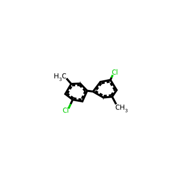 Cc1[c]c(-c2[c]c(C)cc(Cl)c2)cc(Cl)c1